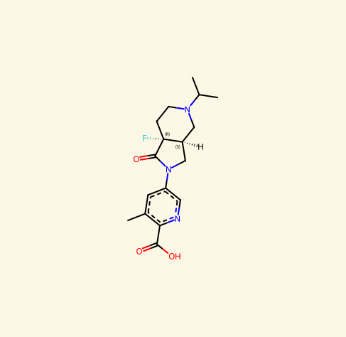 Cc1cc(N2C[C@@H]3CN(C(C)C)CC[C@]3(F)C2=O)cnc1C(=O)O